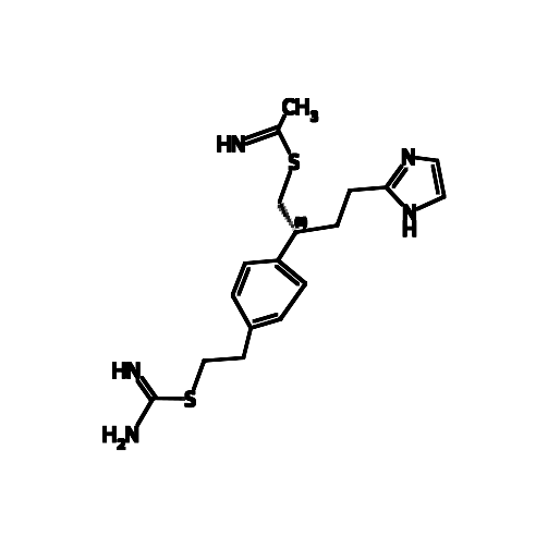 CC(=N)SC[C@H](CCc1ncc[nH]1)c1ccc(CCSC(=N)N)cc1